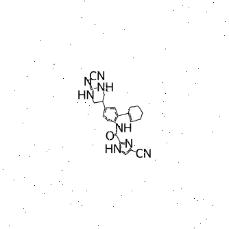 N#CN=C1NCC(c2ccc(NC(=O)c3nc(C#N)c[nH]3)c(C3=CCCCC3)c2)CN1